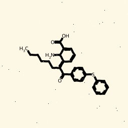 CCCCCCC(C(=O)c1ccc(Sc2ccccc2)cc1)=C1C=CC=C(C(=O)O)C1N